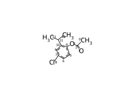 CC(=O)Oc1ccc(Cl)cc1C(C)C